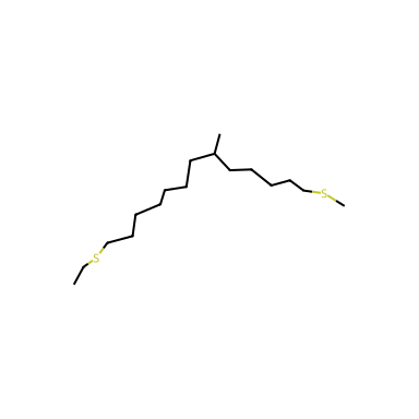 CCSCCCCCCCC(C)CCCCCSC